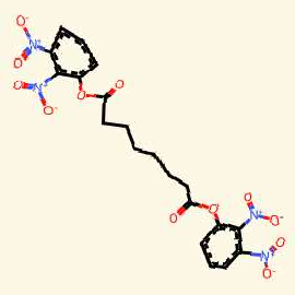 O=C(CCCCCCC(=O)Oc1cccc([N+](=O)[O-])c1[N+](=O)[O-])Oc1cccc([N+](=O)[O-])c1[N+](=O)[O-]